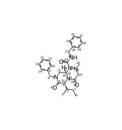 CCC(C)[C@H]1C(=O)N(Cc2ccccc2)C[C@H]2N1C(=O)CN(C)N2C(=O)NCc1ccccc1